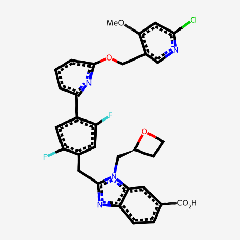 COc1cc(Cl)ncc1COc1cccc(-c2cc(F)c(Cc3nc4ccc(C(=O)O)cc4n3C[C@@H]3CCO3)cc2F)n1